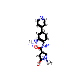 CC(C)N1CC(C(=O)Nc2ccc(-c3ccncc3)cc2N)CC1=O